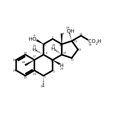 C[C@H]1C[C@@H]2[C@H]([C@@H](O)C[C@@]3(C)[C@H]2CC[C@]3(O)CC(=O)O)[C@@]2(C)C=CCC=C12